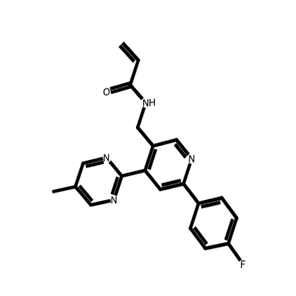 C=CC(=O)NCc1cnc(-c2ccc(F)cc2)cc1-c1ncc(C)cn1